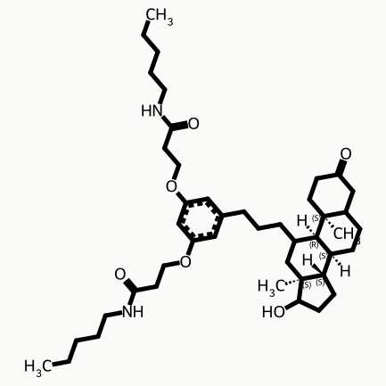 CCCCCNC(=O)CCOc1cc(CCCC2C[C@]3(C)C(O)CC[C@H]3[C@@H]3CCC4CC(=O)CC[C@]4(C)[C@H]23)cc(OCCC(=O)NCCCCC)c1